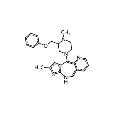 Cc1cc2c(s1)NC=c1cccnc1=C2N1CCN(C)C(COc2ccccc2)C1